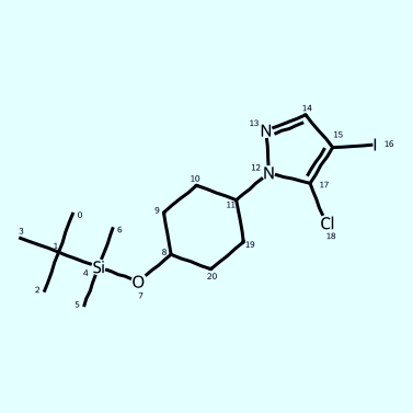 CC(C)(C)[Si](C)(C)OC1CCC(n2ncc(I)c2Cl)CC1